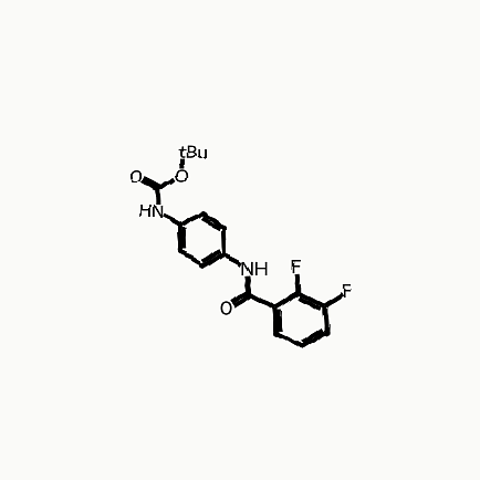 CC(C)(C)OC(=O)Nc1ccc(NC(=O)c2cccc(F)c2F)cc1